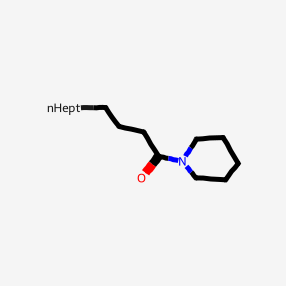 CCCCCCCCCCC(=O)N1CCCCC1